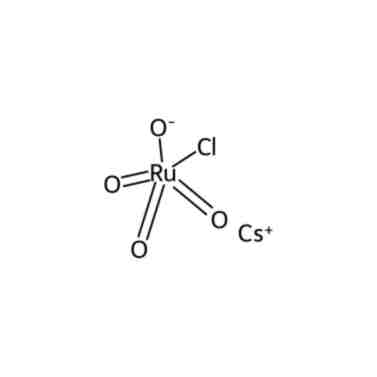 [Cs+].[O]=[Ru](=[O])(=[O])([O-])[Cl]